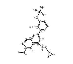 [2H]C([2H])([2H])Oc1cccc(-c2cc3cnc(SC)nc3c(NCC3CC3)n2)c1F